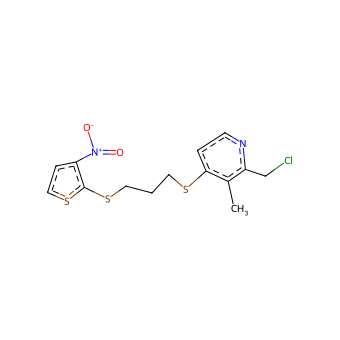 Cc1c(SCCCSc2sccc2[N+](=O)[O-])ccnc1CCl